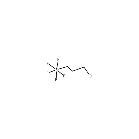 [O]CCCS(F)(F)(F)(F)F